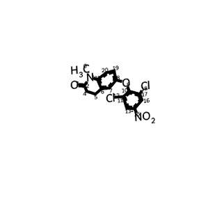 CN1C(=O)CCc2cc(Oc3c(Cl)cc([N+](=O)[O-])cc3Cl)ccc21